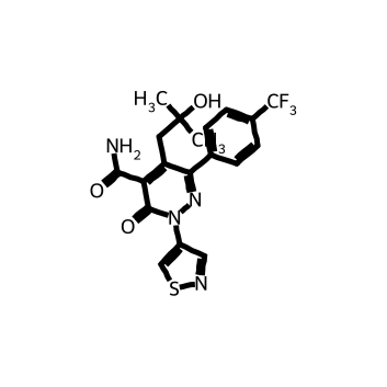 CC(C)(O)Cc1c(-c2ccc(C(F)(F)F)cc2)nn(-c2cnsc2)c(=O)c1C(N)=O